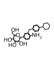 Nc1ccc([C@@H]2O[C@H](CO)[C@@H](O)[C@H](O)[C@H]2O)cc1Cc1ccc(C2CCCCC2)cc1